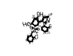 CN(Cc1ccccc1Cl)S(=O)(=O)c1cc(-c2ccnn2-c2ccccc2F)c(O)cc1O